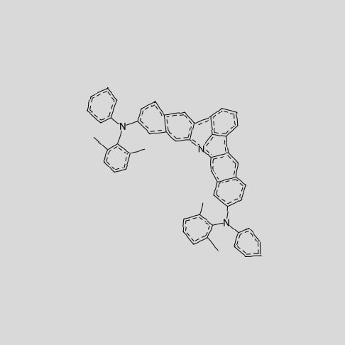 Cc1cccc(C)c1N(c1ccccc1)c1ccc2cc3c4cccc5c6cc7ccc(N(c8ccccc8)c8c(C)cccc8C)cc7cc6n(c3cc2c1)c45